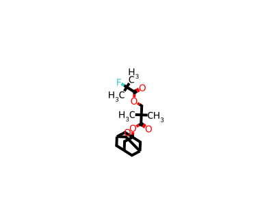 CC(C)(F)C(=O)OCC(C)(C)C(=O)OC12CC3CC(C1)C(=O)C(C3)C2